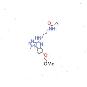 COCCOc1ccc2c(c1)nc(NCCCCNC(=O)C1CC1)c1nnc(C)n12